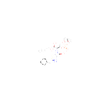 CCOP(=O)(OCC)OC(C)=C(C(=O)OCC(Cl)(Cl)Cl)N1C(=O)C2N=C(Cc3ccccc3)SC21